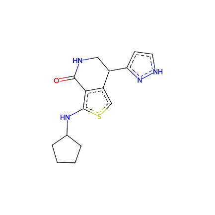 O=C1NCC(c2cc[nH]n2)c2csc(NC3CCCC3)c21